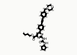 CCCCOC(=O)c1cc(-c2ccc(C#Cc3ccc(CN4CCOCC4)cc3)cc2)nc(NC(=O)NC2CCCC2)n1